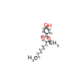 CCCCCCCC[C@H]1CO[C@H](c2ccc(O)cc2)O[C@@H]1C